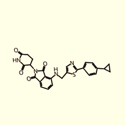 O=C1CCC(N2C(=O)c3cccc(NCc4cnc(-c5ccc(C6CC6)cc5)s4)c3C2=O)C(=O)N1